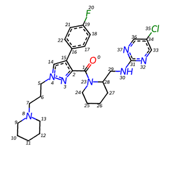 O=C(c1nn(CCCN2CCCCC2)cc1-c1ccc(F)cc1)N1CCCCC1CNc1ncc(Cl)cn1